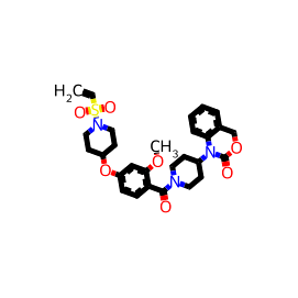 C=CS(=O)(=O)N1CCC(Oc2ccc(C(=O)N3CCC(N4C(=O)OCc5ccccc54)CC3)c(OC)c2)CC1